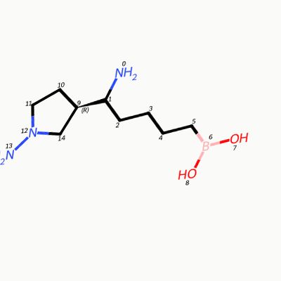 NC(CCCCB(O)O)[C@@H]1CCN(N)C1